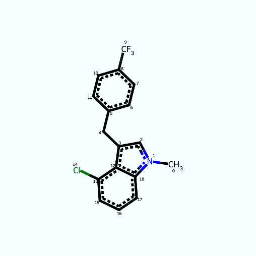 Cn1cc(Cc2ccc(C(F)(F)F)cc2)c2c(Cl)cccc21